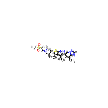 CC[C@H]1CN(CCS(C)(=O)=O)[C@@H](CC)C[C@@H]1c1sc2[nH]c(-c3cn4ncnc4c(C)c3C)c(C(C)C)c2c1C